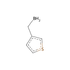 BCc1ccsc1